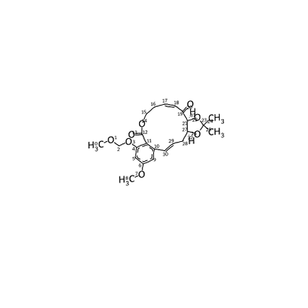 COCOc1cc(OC)cc2c1C(=O)OCC/C=C\C(=O)[C@H]1OC(C)(C)O[C@H]1C/C=C/2